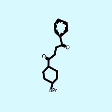 CCCC1CCC(C(=O)CCC(=O)c2ccccc2)CC1